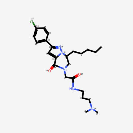 CCCCCC1CN(CC(=O)NCCCN(C)C)C(=O)c2cc(-c3ccc(Cl)cc3)nn21